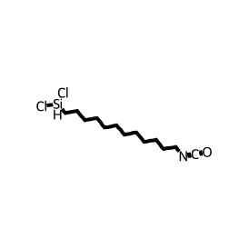 O=C=NCCCCCCCCCCCC[SiH](Cl)Cl